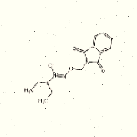 CCN(CC)/[N+]([O-])=N/OCN1C(=O)c2ccccc2C1=O